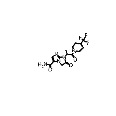 CC(C(=O)N1CCC(C(F)(F)F)CC1)N1C(=O)Cn2c(C(N)=O)cnc21